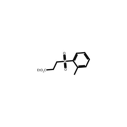 CCOC(=O)CCS(=O)(=O)c1ccccc1C